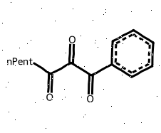 CCCCCC(=O)C(=O)C(=O)c1ccccc1